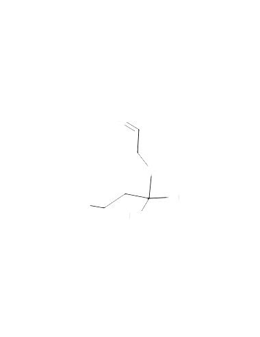 C=CCOC(C)(O)CCO